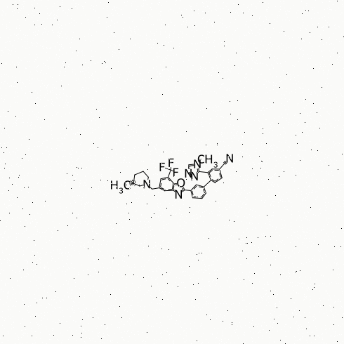 C[C@H]1CCCN(Cc2cc(C(F)(F)F)c3oc(-c4cccc(-c5ccc(C#N)cc5-c5nncn5C)c4)nc3c2)C1